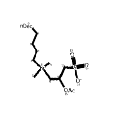 CCCCCCCCCCCCCC[N+](C)(C)CC(CS(=O)(=O)[O-])OC(C)=O